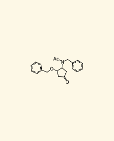 CC(=O)N(Cc1ccccc1)C1CC(=O)CC1OCc1ccccc1